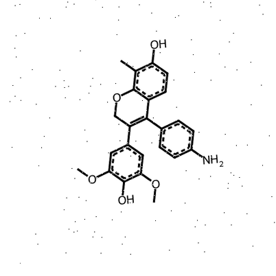 COc1cc(C2=C(c3ccc(N)cc3)c3ccc(O)c(C)c3OC2)cc(OC)c1O